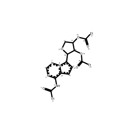 CCC(=O)Nc1ncnn2c(C3OCC(OC(=O)CC)C3OC(=O)CC)ccc12